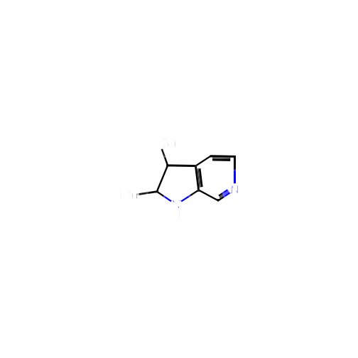 CC(C)(C)C1Nc2cnccc2C1C(C)(C)C